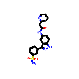 NS(=O)(=O)c1cccc(-c2n[nH]c3ccc(NC(=O)Cc4ccccn4)cc23)c1